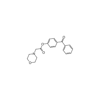 O=C(CN1CCOCC1)Oc1ccc(C(=O)c2ccccc2)cc1